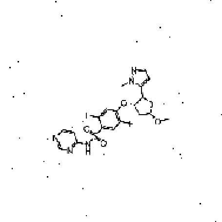 CO[C@H]1C[C@H](Oc2cc(F)c(S(=O)(=O)Nc3ccncn3)cc2F)[C@@H](c2ccnn2C)C1